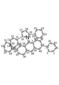 c1ccc(-c2ccc3c(-n4c(-c5ccccc5)ccc4-c4ccccc4)c4cc(-c5ccccc5)ccc4cc3c2)cc1